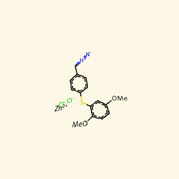 COc1ccc(OC)c(Sc2ccc(C=[N+]=[N-])cc2)c1.[Cl-].[Cl-].[Zn+2]